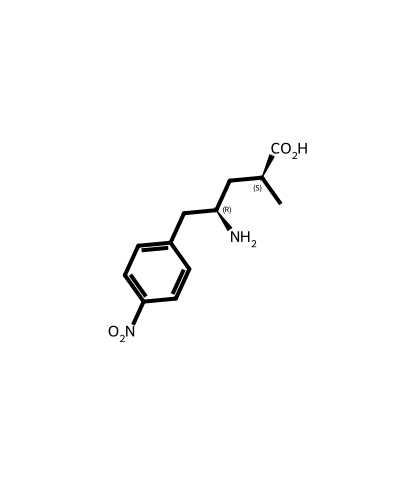 C[C@@H](C[C@@H](N)Cc1ccc([N+](=O)[O-])cc1)C(=O)O